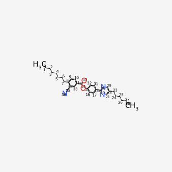 CCCCCCCCc1ccc(C(=O)Oc2ccc(-c3ncc(CCCCCC)cn3)cc2)cc1C#N